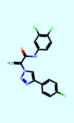 C=C(C(=O)Nc1ccc(Cl)c(Cl)c1)n1cc(-c2ccc(Cl)cc2)nn1